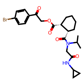 CC(C)N(CC(=O)NC1CC1)C(=O)[C@H]1CCCC[C@H]1C(=O)OCC(=O)c1ccc(Br)cc1